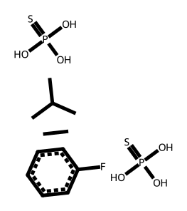 CC.CC(C)C.Fc1ccccc1.OP(O)(O)=S.OP(O)(O)=S